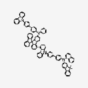 CC1(C)c2ccccc2-c2ccc(N(c3ccc(-c4ccc(-n5c6ccccc6c6c(-c7cccc8c7-c7ccc(N(c9ccccc9)c9ccc(-c%10ccc(-n%11c%12ccccc%12c%12ccccc%12%11)cc%10)cc9)cc7C87c8ccccc8-c8ccccc87)cccc65)cc4)cc3)c3cccc4ccccc34)cc21